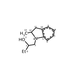 CCC(O)CN1c2ccccc2CC1C